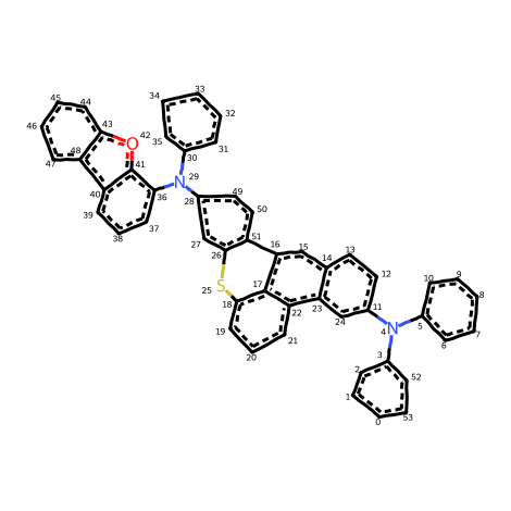 c1ccc(N(c2ccccc2)c2ccc3cc4c5c(cccc5c3c2)Sc2cc(N(c3ccccc3)c3cccc5c3oc3ccccc35)ccc2-4)cc1